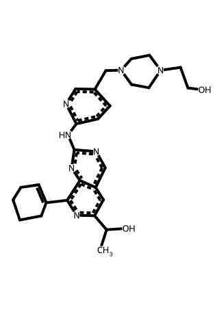 CC(O)c1cc2cnc(Nc3ccc(CN4CCN(CCO)CC4)cn3)nc2c(C2=CCCCC2)n1